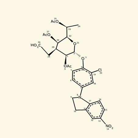 CC(=O)O[C@@H]1[C@@H](Oc2ccc(N3CCc4cc([N+](=O)[O-])ccc43)cc2Cl)O[C@H]([C@H](C)OC(C)=O)[C@H](OC(C)=O)[C@@H]1CC(=O)O